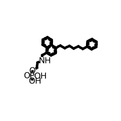 O=P(O)(O)OCCNCc1ccc(CCCCCCc2ccccc2)c2ccccc12